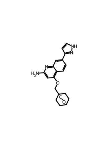 Nc1cc(OCC23CCC(CC2)OC3)c2ccc(-c3cc[nH]n3)cc2n1